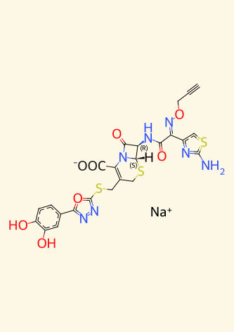 C#CCON=C(C(=O)N[C@@H]1C(=O)N2C(C(=O)[O-])=C(CSc3nnc(-c4ccc(O)c(O)c4)o3)CS[C@@H]12)c1csc(N)n1.[Na+]